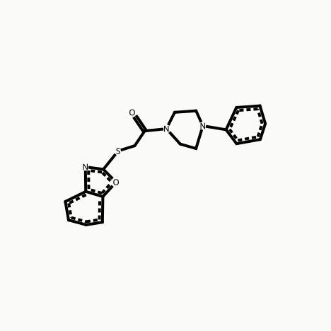 O=C(CSc1nc2ccccc2o1)N1CCN(c2ccccc2)CC1